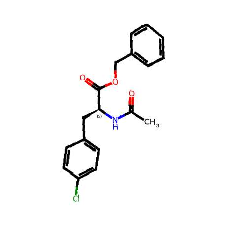 CC(=O)N[C@@H](Cc1ccc(Cl)cc1)C(=O)OCc1ccccc1